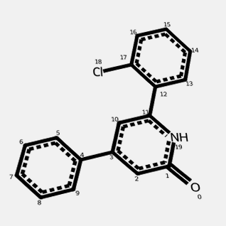 O=c1cc(-c2ccccc2)cc(-c2ccccc2Cl)[nH]1